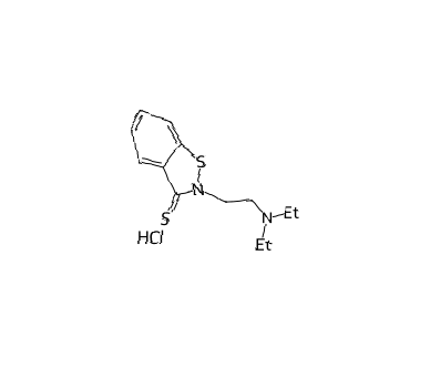 CCN(CC)CCn1sc2ccccc2c1=S.Cl